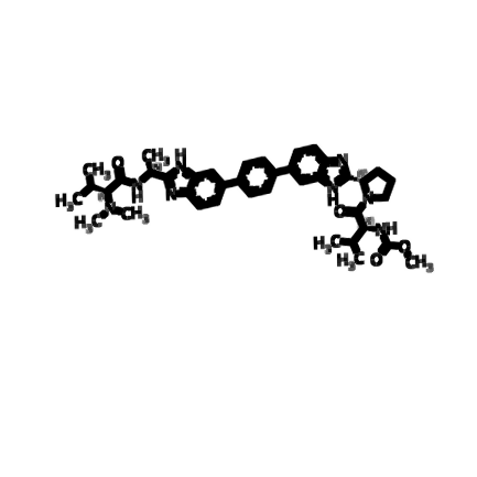 COC(=O)N[C@H](C(=O)N1CCC[C@H]1c1nc2ccc(-c3ccc(-c4ccc5nc([C@H](C)NC(=O)[C@H](C(C)C)N(C)C)[nH]c5c4)cc3)cc2[nH]1)C(C)C